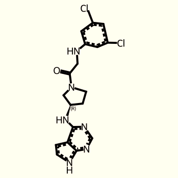 O=C(CNc1cc(Cl)cc(Cl)c1)N1CC[C@@H](Nc2ncnc3[nH]ccc23)C1